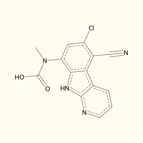 CN(C(=O)O)c1cc(Cl)c(C#N)c2c1[nH]c1ncccc12